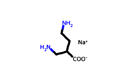 NCCC(CN)C(=O)[O-].[Na+]